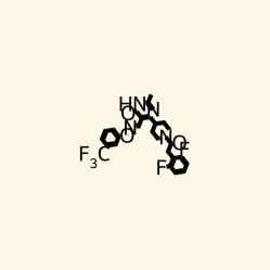 Cc1nc(C2CCN(C(=O)Cc3c(F)cccc3F)CC2)c(C=NOc2cccc(C(F)(F)F)c2)c(=O)[nH]1